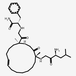 CC(C)C[C@H](N)C(=O)CN[C@]1(C)CCCCCC/C=C/CCC[C@@](C)(C(=O)CN[C@@H](Cc2ccccc2)C(N)=O)NCC1=O